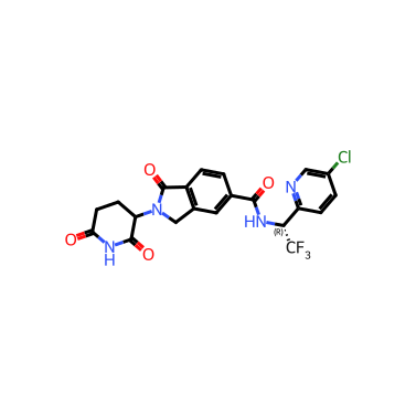 O=C1CCC(N2Cc3cc(C(=O)N[C@H](c4ccc(Cl)cn4)C(F)(F)F)ccc3C2=O)C(=O)N1